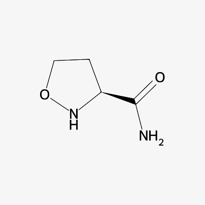 NC(=O)[C@@H]1CCON1